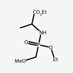 CCOC(=O)C(C)NP(=O)(COC)OCC